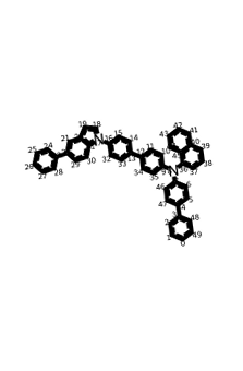 c1ccc(-c2ccc(N(c3ccc(-c4ccc(-n5ccc6cc(-c7ccccc7)ccc65)cc4)cc3)c3cccc4ccccc34)cc2)cc1